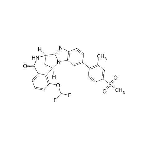 Cc1cc(S(C)(=O)=O)ccc1-c1ccc2nc3n(c2c1)[C@@H]1C[C@H]3NC(=O)c2cccc(OC(F)F)c21